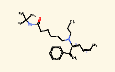 C=C(/C(=C\C=C/C)N(CCC)CCCCCC(=O)NC(C)(C)C)c1ccccc1